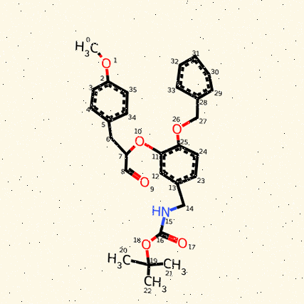 COc1ccc(CC(C=O)Oc2cc(CNC(=O)OC(C)(C)C)ccc2OCc2ccccc2)cc1